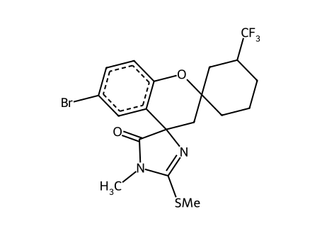 CSC1=NC2(CC3(CCCC(C(F)(F)F)C3)Oc3ccc(Br)cc32)C(=O)N1C